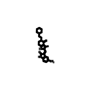 Bc1ccc2c(c1)/C(=C/c1[nH]c3c(c1C)C(=O)N(CCN1CCCCC1)CC3)C(=O)N2